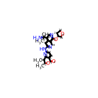 C[C@@H]1OC(=O)c2ccc(Nc3cc4c(C(C)(C)N)cnc(O[C@H]5CCOC5)c4cn3)nc2[C@H]1C